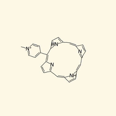 C[n+]1ccc(-c2c3nc(cc4ccc(cc5nc(cc6ccc2[nH]6)C=C5)[nH]4)C=C3)cc1